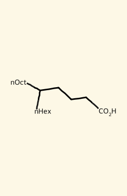 CCCCCCCCC(CCCCCC)CCCC(=O)O